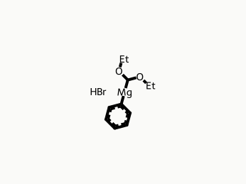 Br.CCO[CH](OCC)[Mg][c]1ccccc1